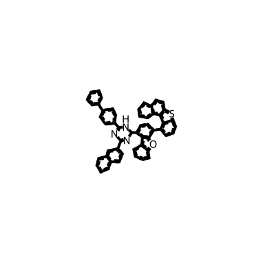 c1ccc(-c2ccc(C3=NC(c4ccc5ccccc5c4)=NC(c4ccc(-c5cccc6sc7ccc8ccccc8c7c56)c5oc6ccccc6c45)N3)cc2)cc1